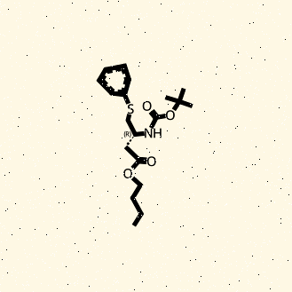 CCCCOC(=O)C[C@H](CSc1ccccc1)NC(=O)OC(C)(C)C